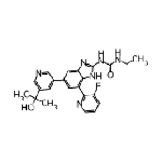 CCNC(=O)Nc1nc2cc(-c3cncc(C(C)(C)O)c3)cc(-c3ncccc3F)c2[nH]1